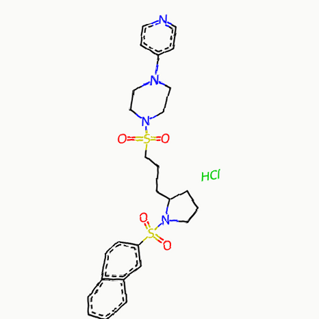 Cl.O=S(=O)(CCCC1CCCN1S(=O)(=O)c1ccc2ccccc2c1)N1CCN(c2ccncc2)CC1